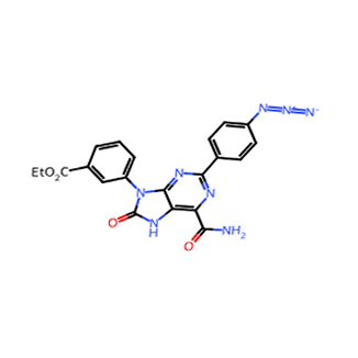 CCOC(=O)c1cccc(-n2c(=O)[nH]c3c(C(N)=O)nc(-c4ccc(N=[N+]=[N-])cc4)nc32)c1